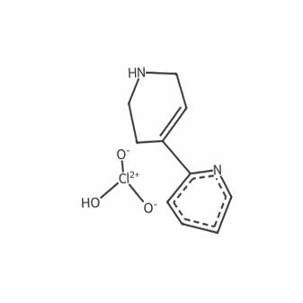 C1=C(c2ccccn2)CCNC1.[O-][Cl+2]([O-])O